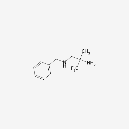 CC(N)(CNCc1ccccc1)C(F)(F)F